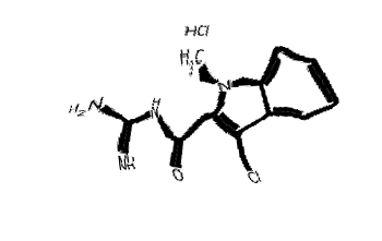 Cl.Cn1c(C(=O)NC(=N)N)c(Cl)c2ccccc21